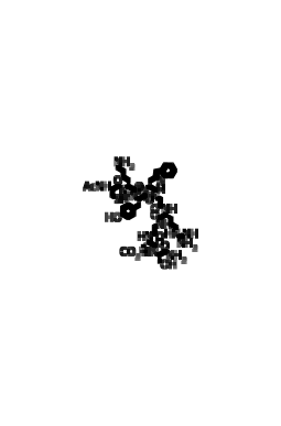 CC(=O)N[C@H](CS)C(=O)N[C@@H](CCCCN)C(=O)N[C@H](Cc1ccc(O)cc1)C(=O)N[C@@H](Cc1cc2ccccc2[nH]1)C(=O)NCC(=O)N[C@@H](CCCNC(=N)N)C(=O)NCC(=O)N[C@@H](CC(=O)O)C(=O)N[C@H](CO)C(N)=O